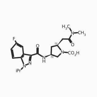 CC(C)n1nc(C(=O)N[C@H]2C[C@@H](CC(=O)N(C)C)N(C(=O)O)C2)c2cc(F)ccc21